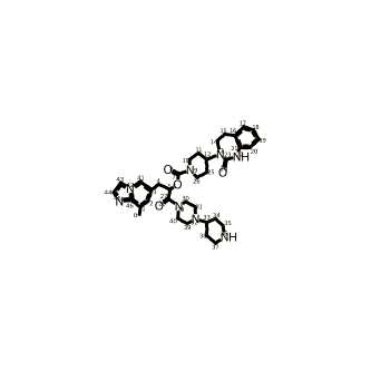 Cc1cc(CC(OC(=O)N2CCC(N3CCc4ccccc4NC3=O)CC2)C(=O)N2CCN(C3CCNCC3)CC2)cn2ccnc12